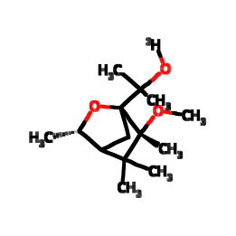 [3H]OC(C)(C)C12CC([C@H](C)O1)C(C)(C)[C@@]2(C)OC